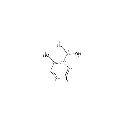 OB(O)c1cnccc1O